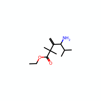 C=C(C(N)C(C)C)C(C)(C)C(=O)OCC